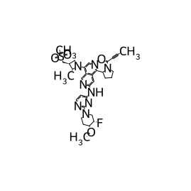 CC#CC(=O)N1CCCC1c1ncc(N2C[C@H](CS(C)(=O)=O)[C@H]2C)c2cnc(Nc3ccnc(N4CC[C@@H](OC)[C@@H](F)C4)n3)cc12